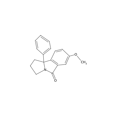 COc1ccc2c(c1)C(=O)N1CCCC21c1ccccc1